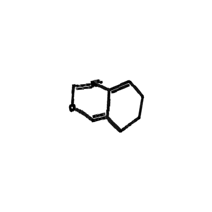 C1=[N+]C2=CCCCC2=CO1